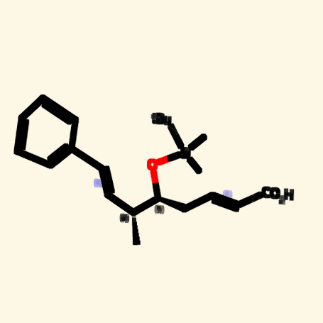 C[C@H](/C=C/c1ccccc1)[C@H](C/C=C/C(=O)O)O[Si](C)(C)C(C)(C)C